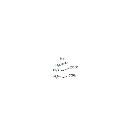 C=O.NCC(=O)[O-].NCC(=O)[O-].[Na+].[Na+]